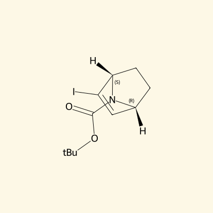 CC(C)(C)OC(=O)N1[C@H]2C=C(I)[C@@H]1CC2